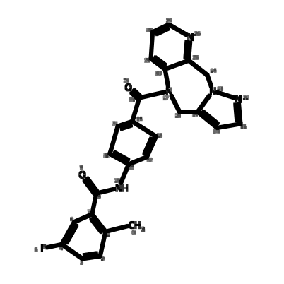 Cc1ccc(F)cc1C(=O)Nc1ccc(C(=O)N2Cc3ccnn3Cc3ncccc32)cc1